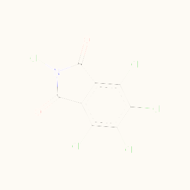 O=C1c2c(Cl)c(Cl)c(Cl)c(Cl)c2C(=O)N1Cl